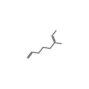 C=CCCCC(C)=CC